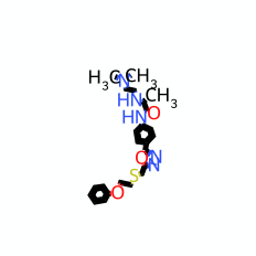 CC(NCCN(C)C)C(=O)Nc1ccc(-c2nnc(CSCCOc3ccccc3)o2)cc1